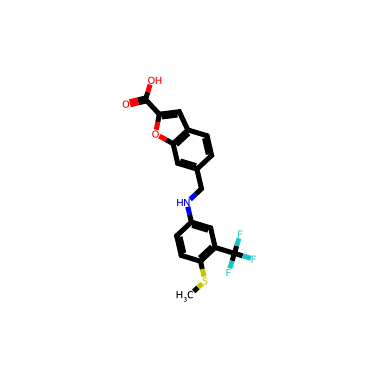 CSc1ccc(NCc2ccc3cc(C(=O)O)oc3c2)cc1C(F)(F)F